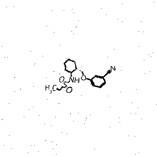 CCS(=O)(=O)N[C@H]1CCCC[C@@H]1COc1cccc(C#N)c1